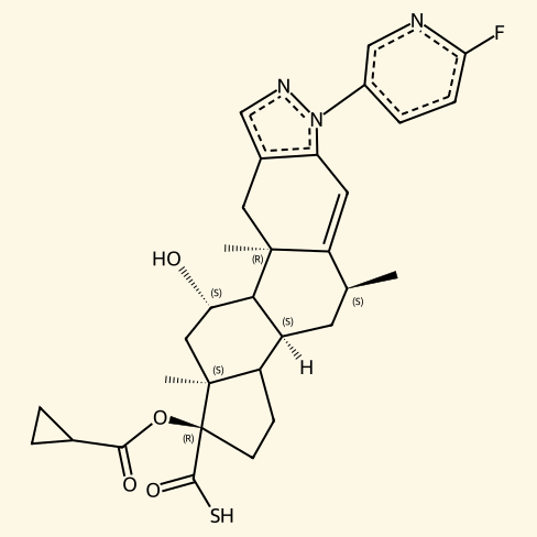 C[C@H]1C[C@@H]2C([C@@H](O)C[C@@]3(C)C2CC[C@]3(OC(=O)C2CC2)C(=O)S)[C@@]2(C)Cc3cnn(-c4ccc(F)nc4)c3C=C12